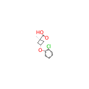 C[C@]1(C(=O)O)C[C@H](Oc2ccccc2Cl)C1